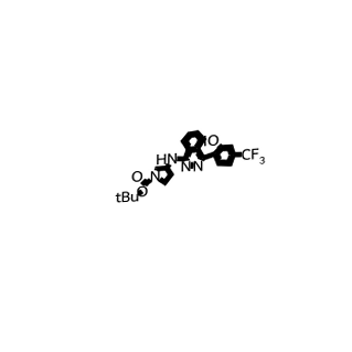 CC(C)(C)OC(=O)N1CCC(Nc2nnc(-c3ccc(C(F)(F)F)cc3O)c3ccccc23)C1